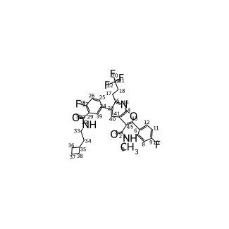 CNC(=O)c1c(-c2ccc(F)cc2)oc2nc(CCC(F)(F)F)c(-c3ccc(F)c(C(=O)NCCC4CCC4)c3)cc12